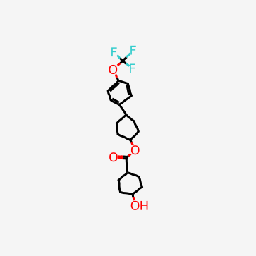 O=C(OC1CCC(c2ccc(OC(F)(F)F)cc2)CC1)C1CCC(O)CC1